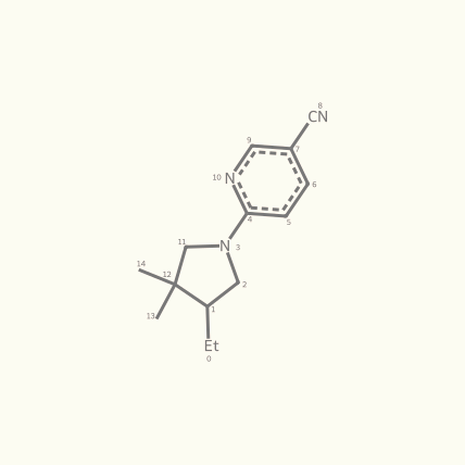 CCC1CN(c2ccc(C#N)cn2)CC1(C)C